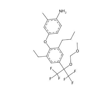 CCCc1cc(C(OCOC)(C(F)(F)F)C(F)(F)F)cc(CC)c1Oc1ccc(N)c(C)c1